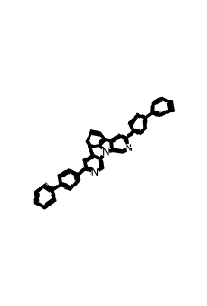 c1ccc(-c2ccc(-c3cc4c5cccc6c7cc(-c8ccc(-c9ccccc9)cc8)ncc7n(c4cn3)c56)cc2)cc1